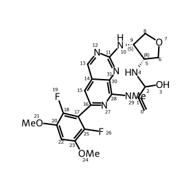 C=CC(O)N[C@H]1COC[C@H]1Nc1ncc2cc(-c3c(F)c(OC)cc(OC)c3F)nc(NC)c2n1